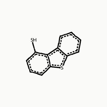 Sc1cccc2sc3ccccc3c12